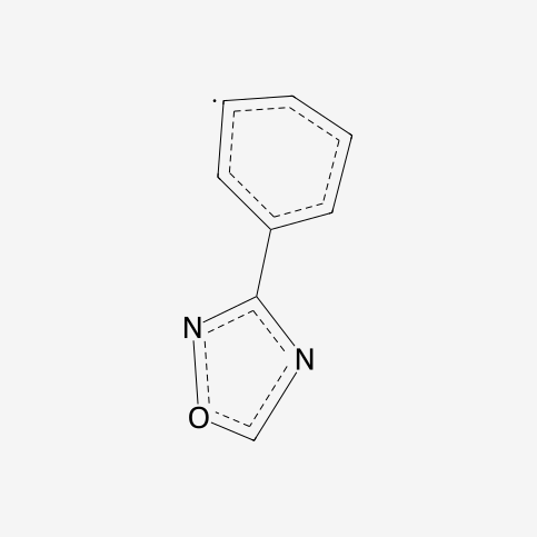 [c]1cccc(-c2ncon2)c1